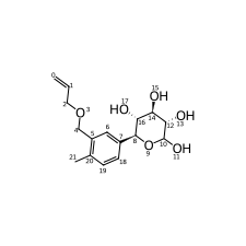 C=CCOCc1cc([C@@H]2OC(O)[C@@H](O)[C@H](O)[C@H]2O)ccc1C